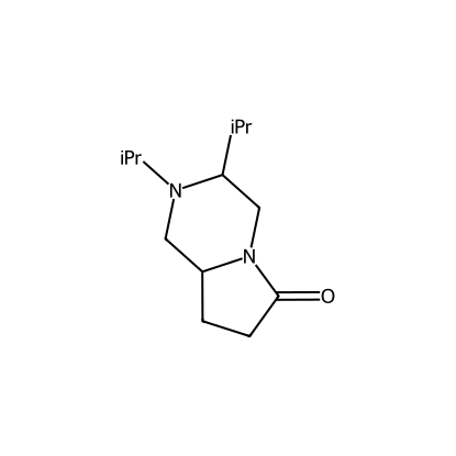 CC(C)C1CN2C(=O)CCC2CN1C(C)C